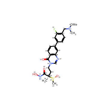 CON(C)Cc1ccc(-c2ccc3c(=O)n(CC[C@](C)(C(=O)NO)[S+](C)[O-])cnc3c2)cc1F